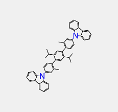 Cc1cc(-n2c3ccccc3c3ccccc32)ccc1-c1cc(C(C)C)c(-c2ccc(-n3c4ccccc4c4ccccc43)cc2C)cc1C(C)C